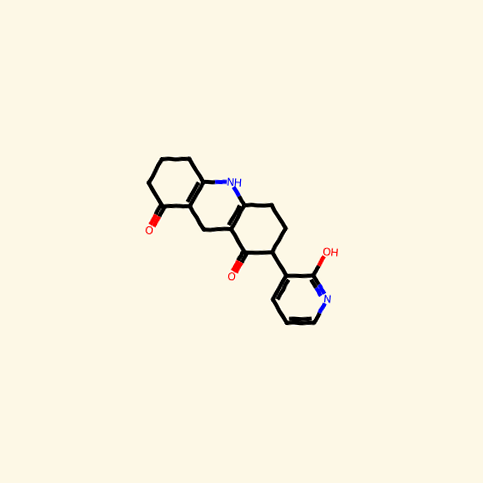 O=C1CCCC2=C1CC1=C(CCC(c3cccnc3O)C1=O)N2